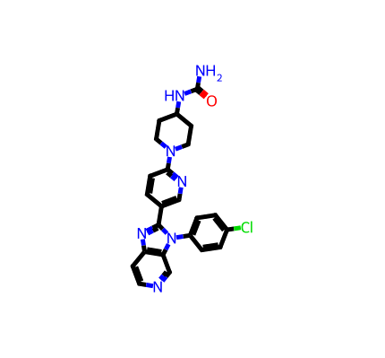 NC(=O)NC1CCN(c2ccc(-c3nc4ccncc4n3-c3ccc(Cl)cc3)cn2)CC1